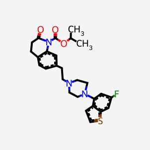 CC(C)OC(=O)N1C(=O)CCc2ccc(CCN3CCN(c4cc(F)cc5sccc45)CC3)cc21